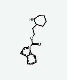 O=C(OCCC1CCCCN1)n1ccc2ccccc21